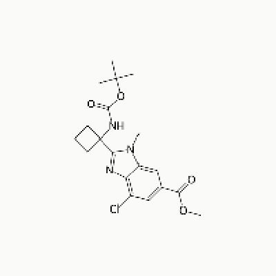 COC(=O)c1cc(Cl)c2nc(C3(NC(=O)OC(C)(C)C)CCC3)n(C)c2c1